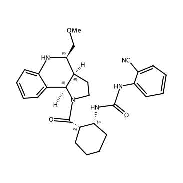 COC[C@@H]1Nc2ccccc2[C@H]2[C@@H]1CCN2C(=O)[C@H]1CCCC[C@H]1NC(=O)Nc1ccccc1C#N